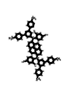 Cc1ccc(-c2cc(-c3ccc(C)cc3)cc(N(c3ccc(F)cc3F)c3ccc4ccc5c(N(c6cc(-c7ccc(C)cc7)cc(-c7ccc(C)cc7)c6)c6ccc(F)cc6F)ccc6ccc3c4c65)c2)cc1